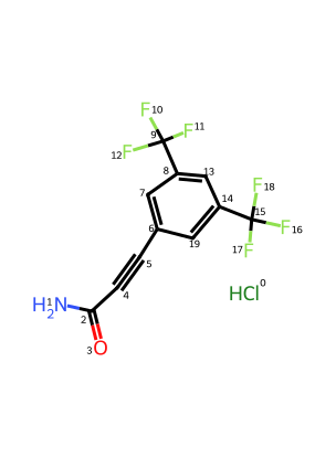 Cl.NC(=O)C#Cc1cc(C(F)(F)F)cc(C(F)(F)F)c1